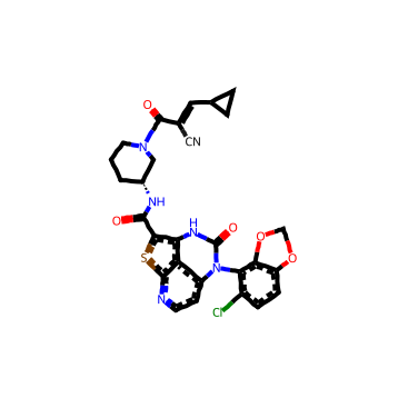 N#C/C(=C\C1CC1)C(=O)N1CCC[C@@H](NC(=O)c2sc3nccc4c3c2NC(=O)N4c2c(Cl)ccc3c2OCO3)C1